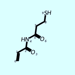 C=CC(=O)NC(=O)CCS